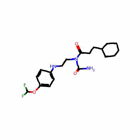 NC(=O)N(CCNc1ccc(OC(F)F)cc1)C(=O)[CH]CC1CCCCC1